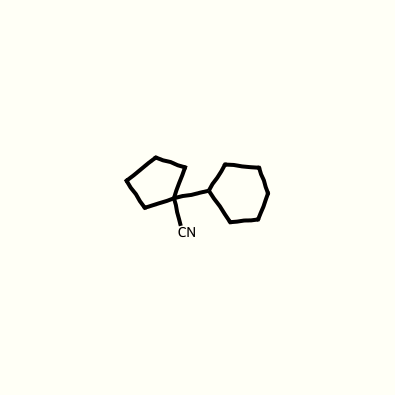 N#CC1(C2CCCCC2)CCCC1